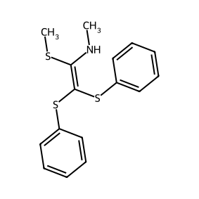 CNC(SC)=C(Sc1ccccc1)Sc1ccccc1